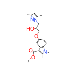 CCOC(=O)c1c(C)n(C)c2ccc(OCC(O)Cn3nc(C)cc3C)cc12